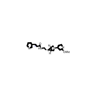 COc1cc(N2C[C@@H]3[C@H](CCNC(=O)/C=C/c4cccnc4)[C@@H]3C2)ccn1